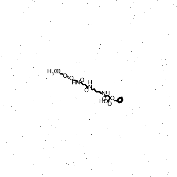 COCCOCCOCCNC(=O)CCC(=O)NCCCCCNC(=O)CC(OCc1ccccc1)C(=O)O